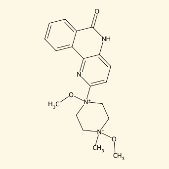 CO[N+]1(C)CC[N+](OC)(c2ccc3[nH]c(=O)c4ccccc4c3n2)CC1